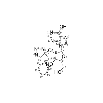 OC[C@H]1O[C@@H](n2cnc3c(O)ncnc32)C(OC2(Cc3ccccc3)C=NN=N2)C1O